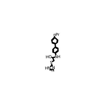 CCCc1ccc(-c2ccc(NC(O)CSc3nnc[nH]3)cc2)cc1